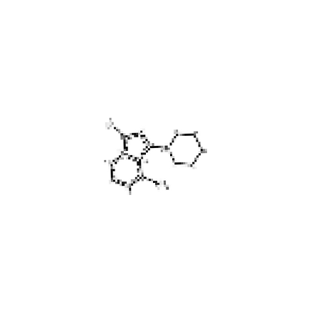 Nc1ncnn2c(Br)cc(N3CCCCC3)c12